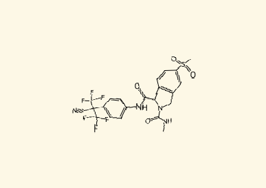 CNC(=O)N1Cc2cc(S(C)(=O)=O)ccc2C1C(=O)Nc1ccc(C(C#N)(C(F)(F)F)C(F)(F)F)cc1